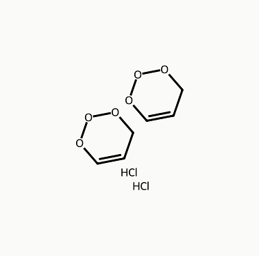 C1=COOOC1.C1=COOOC1.Cl.Cl